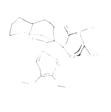 COc1ccc(C2(C34CCC5CCC(CC5C3)C4)N=C(N)N(C)C2=O)cc1OC